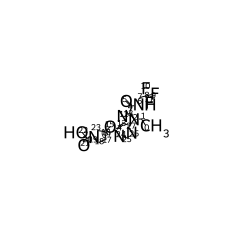 CCn1c(C(=O)NCC(F)(F)F)nc2c(O[C@H]3CCN(C(=O)O)C3)ncnc21